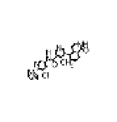 Cc1c(C(=O)Nc2cnc(-n3nccn3)c(Cl)c2)cncc1-c1cccc2c(=O)[nH]ccc12